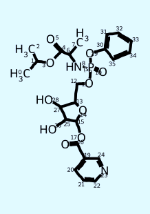 CC(C)OC(=O)C(C)N[P@](=O)(OCC1OC(OC(=O)c2cccnc2)C(O)C1O)Oc1ccccc1